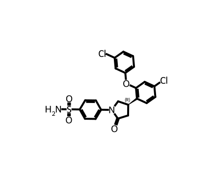 NS(=O)(=O)c1ccc(N2C[C@@H](c3ccc(Cl)cc3Oc3cccc(Cl)c3)CC2=O)cc1